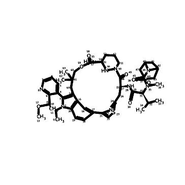 CCn1c(-c2cccnc2[C@H](C)OC)c2c3cc(ccc31)-c1csc(n1)C[C@H](NC(=O)[C@H](C(C)C)N(C)C(=O)N1C3CC1CS(=O)(=O)C3)C(=O)N1CCC[C@@]([SiH3])(N1)C(=O)OCC(C)(C)C2